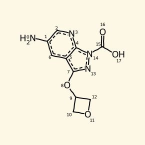 Nc1cnc2c(c1)c(OC1COC1)nn2C(=O)O